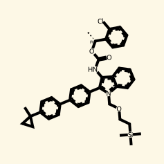 C[C@@H](OC(=O)Nc1c(-c2ccc(-c3ccc(C4(C)CC4)cc3)cc2)n(COCC[Si](C)(C)C)c2ccccc12)c1ccccc1Cl